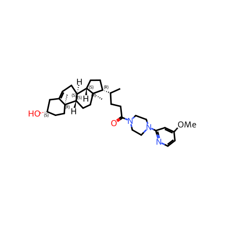 COc1ccnc(N2CCN(C(=O)CCC(C)[C@H]3CC[C@H]4[C@@H]5CC=C6C[C@@H](O)CC[C@]6(C)[C@H]5CC[C@]34C)CC2)c1